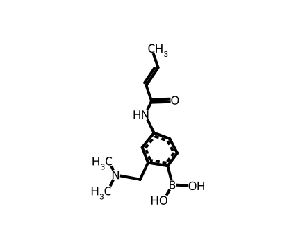 CC=CC(=O)Nc1ccc(B(O)O)c(CN(C)C)c1